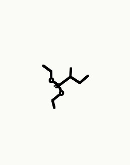 CCO[Si](OCC)C(C)CC